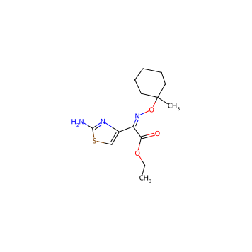 CCOC(=O)/C(=N\OC1(C)CCCCC1)c1csc(N)n1